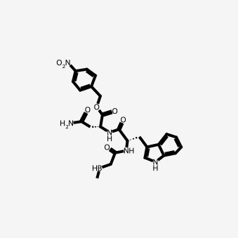 CBCC(=O)N[C@@H](Cc1c[nH]c2ccccc12)C(=O)N[C@H](CC(N)=O)C(=O)OCc1ccc([N+](=O)[O-])cc1